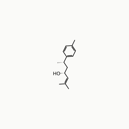 CC(C)=C[C@H](O)C[C@H](C)c1ccc(C)cc1